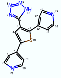 c1cc(-c2cc(-c3nnn[nH]3)c(-c3ccncc3)s2)ccn1